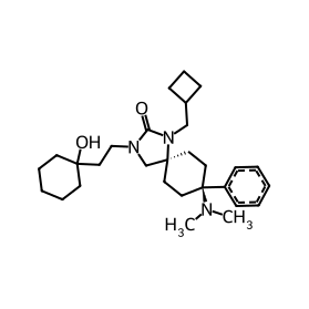 CN(C)[C@]1(c2ccccc2)CC[C@]2(CC1)CN(CCC1(O)CCCCC1)C(=O)N2CC1CCC1